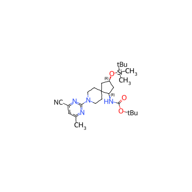 Cc1cc(C#N)nc(N2CCC3(CC2)C[C@@H](O[Si](C)(C)C(C)(C)C)C[C@H]3NC(=O)OC(C)(C)C)n1